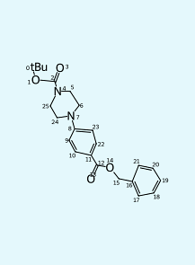 CC(C)(C)OC(=O)N1CCN(c2ccc(C(=O)OCc3ccccc3)cc2)CC1